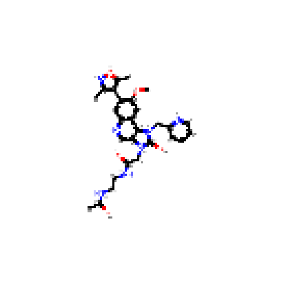 COc1cc2c(cc1-c1c(C)noc1C)ncc1c2n(Cc2ccccn2)c(=O)n1CC(=O)NCCNC(C)=O